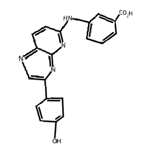 O=C(O)c1cccc(Nc2ccc3ncc(-c4ccc(O)cc4)nc3n2)c1